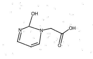 O=C(O)CN1C=CC=NC1O